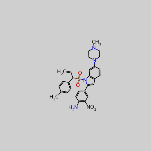 C=CC(c1ccc(C)cc1)S(=O)(=O)n1c(-c2ccc(N)c([N+](=O)[O-])c2)cc2ccc(N3CCN(C)CC3)cc21